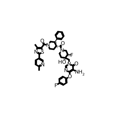 Cc1ccc(-c2nc(C)c(C(=O)N3CC[C@@H](C(=O)N4CC[C@](O)(Cn5cnc(Oc6ccc(F)cc6)c(N)c5=O)[C@H](F)C4)[C@H](c4ccccc4)C3)s2)cn1